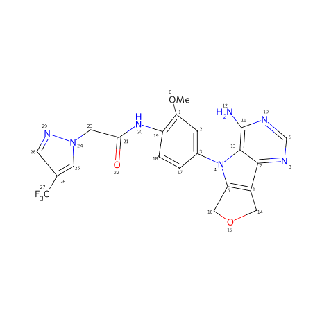 COc1cc(-n2c3c(c4ncnc(N)c42)COC3)ccc1NC(=O)Cn1cc(C(F)(F)F)cn1